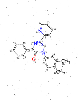 Cc1ccc(N(CCc2ccccn2)C(=O)[C@@H](N)c2ccccc2)cc1C